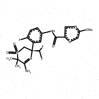 COc1cnc(C(=O)Nc2ccc(F)c([C@@]3(C(F)F)CS(=O)(=O)C(C)(C)C(N)=N3)c2)cn1